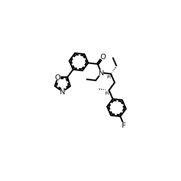 CC[C@H](C[C@@H](C)c1ccc(F)cc1)N(CC)C(=O)c1cccc(-c2cnco2)c1